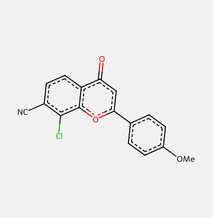 COc1ccc(-c2cc(=O)c3ccc(C#N)c(Cl)c3o2)cc1